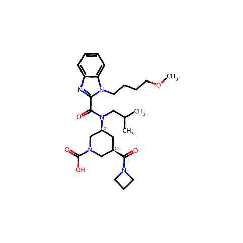 COCCCCn1c(C(=O)N(CC(C)C)[C@H]2C[C@@H](C(=O)N3CCC3)CN(C(=O)O)C2)nc2ccccc21